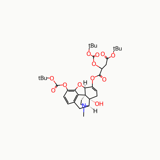 CN1CC[C@]23c4c5ccc(OC(=O)OC(C)(C)C)c4O[C@H]2C(OC(=O)C(CC(=O)OC(C)(C)C)OC(=O)OC(C)(C)C)=CC[C@@]3(O)[C@H]1C5